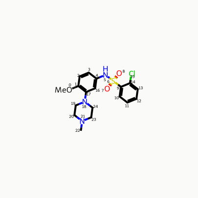 COc1ccc(NS(=O)(=O)c2ccccc2Cl)cc1N1CCN(C)CC1